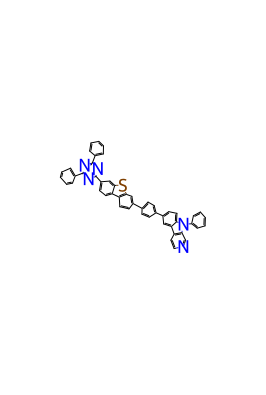 c1ccc(-c2nc(-c3ccccc3)nc(-c3ccc4c(c3)sc3cc(-c5ccc(-c6ccc7c(c6)c6ccncc6n7-c6ccccc6)cc5)ccc34)n2)cc1